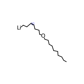 [Li][CH2]C/C=C\CCCOCCCCCCCCCC